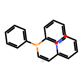 C(=C/P(c1ccccc1)c1ccccc1)/c1ccccn1